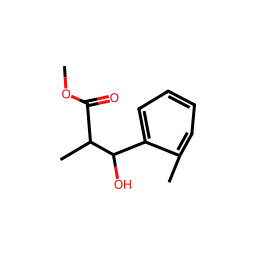 COC(=O)C(C)C(O)c1ccccc1C